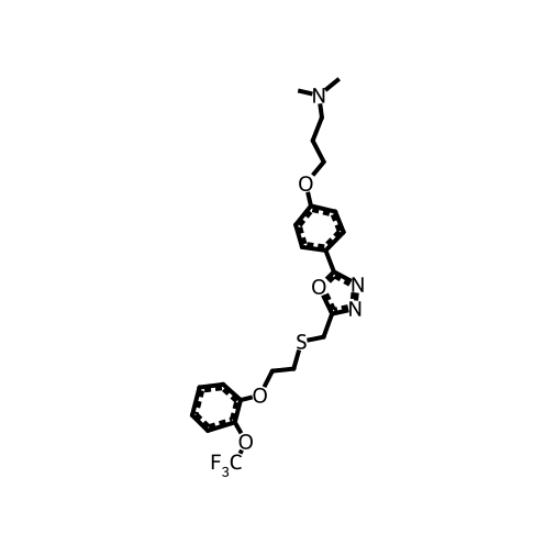 CN(C)CCCOc1ccc(-c2nnc(CSCCOc3ccccc3OC(F)(F)F)o2)cc1